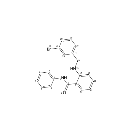 O=C(Nc1ccccc1)c1ccccc1NCc1cccc(Br)c1